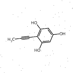 CC#Cc1c(O)cc(O)cc1O